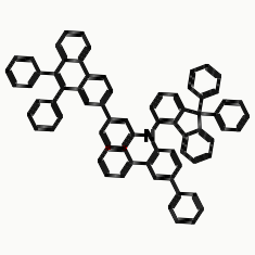 c1ccc(-c2ccc(N(c3cccc(-c4ccc5c(c4)c(-c4ccccc4)c(-c4ccccc4)c4ccccc45)c3)c3cccc4c3-c3ccccc3C4(c3ccccc3)c3ccccc3)c(-c3ccccc3)c2)cc1